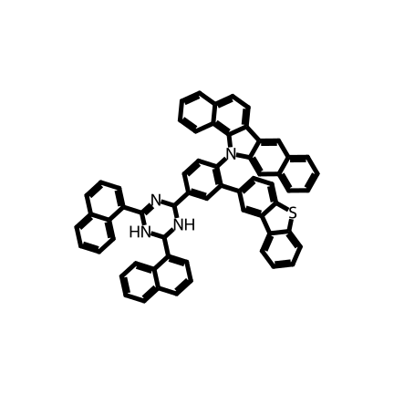 c1ccc2cc3c(cc2c1)c1ccc2ccccc2c1n3-c1ccc(C2N=C(c3cccc4ccccc34)NC(c3cccc4ccccc34)N2)cc1-c1ccc2sc3ccccc3c2c1